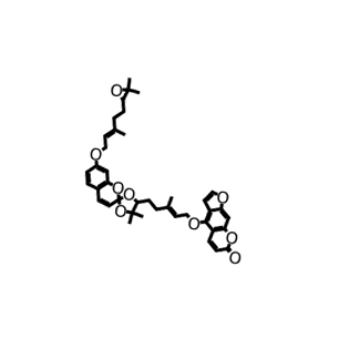 C/C(=C\COc1ccc2c(c1)OC1(C=C2)OC(CC/C(C)=C/COc2c3ccoc3cc3oc(=O)ccc23)C(C)(C)O1)CCC1OC1(C)C